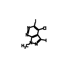 Cn1nc(I)c2c(Cl)c(I)nnc21